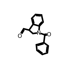 O=CC1CN(C(=O)c2ccccc2)c2ccccc21